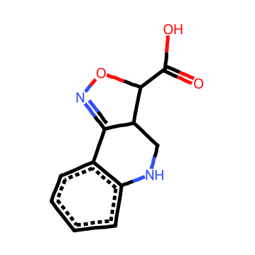 O=C(O)C1ON=C2c3ccccc3NCC21